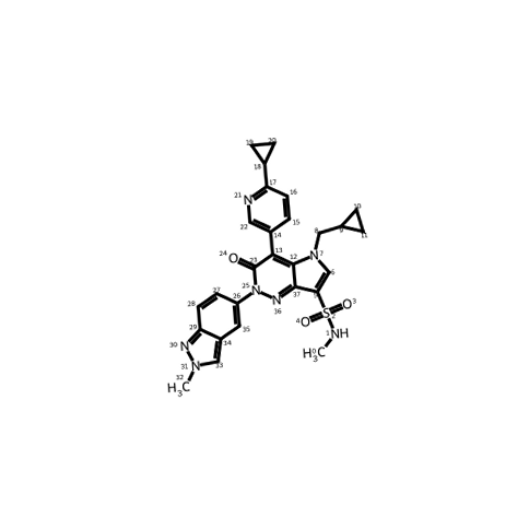 CNS(=O)(=O)c1cn(CC2CC2)c2c(-c3ccc(C4CC4)nc3)c(=O)n(-c3ccc4nn(C)cc4c3)nc12